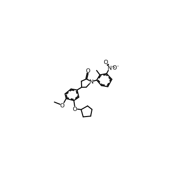 COc1ccc(C2CC(=O)N(c3cccc([N+](=O)[O-])c3C)C2)cc1OC1CCCC1